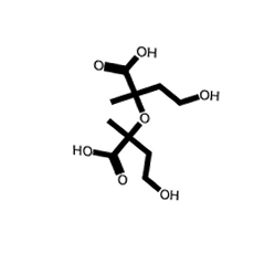 CC(CCO)(OC(C)(CCO)C(=O)O)C(=O)O